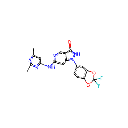 Cc1cc(Nc2cc3c(cn2)c(=O)[nH]n3-c2ccc3c(c2)OC(F)(F)O3)nc(C)n1